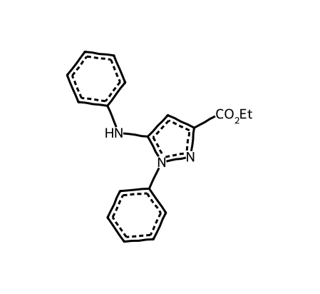 CCOC(=O)c1cc(Nc2ccccc2)n(-c2ccccc2)n1